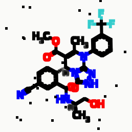 COC(=O)C1=C(C)N(c2cccc(C(F)(F)F)c2)c2n[nH]c(=O)n2[C@@H]1c1ccc(C#N)cc1C(=O)N[C@H](C)CO